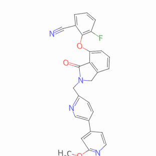 COc1cc(-c2ccc(CN3Cc4cccc(Oc5c(F)cccc5C#N)c4C3=O)nc2)ccn1